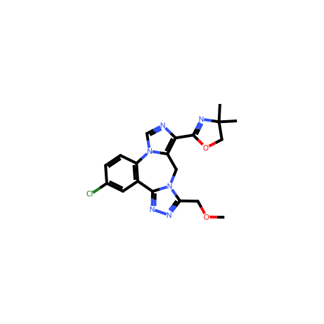 COCc1nnc2n1Cc1c(C3=NC(C)(C)CO3)ncn1-c1ccc(Cl)cc1-2